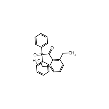 CCc1cccc(CC)c1C(=O)P(=O)(c1ccccc1)c1ccccc1